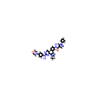 Cc1c(C(=O)Nc2cccc(-c3nc4sccn4c3-c3ccnc(Nc4ccc(N5CCOCC5)cc4)n3)c2)cnn1-c1ccccc1